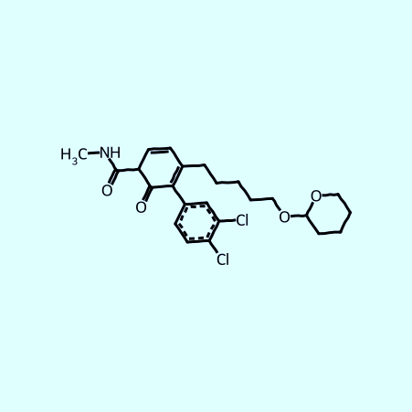 CNC(=O)C1C=CC(CCCCCOC2CCCCO2)=C(c2ccc(Cl)c(Cl)c2)C1=O